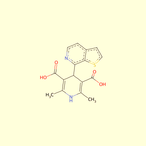 CC1=C(C(=O)O)C(c2nccc3ccsc23)C(C(=O)O)=C(C)N1